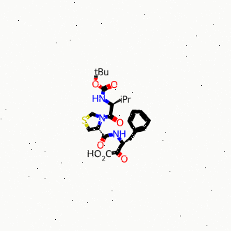 CC(C)[C@H](NC(=O)OC(C)(C)C)C(=O)N1CSC[C@H]1C(=O)N[C@@H](Cc1ccccc1)C(=O)C(=O)O